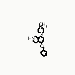 CN1CCN(c2ccc(OCc3ccccc3)c3c2CNCC3)CC1